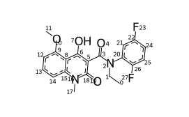 CCN(C(=O)c1c(O)c2c(OC)cccc2n(C)c1=O)c1cc(F)ccc1F